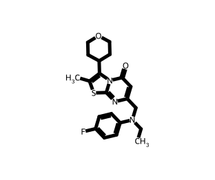 CCN(Cc1cc(=O)n2c(C3CCOCC3)c(C)sc2n1)c1ccc(F)cc1